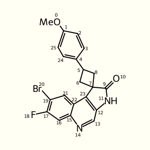 COc1ccc(C2CC3(C2)C(=O)Nc2cnc4cc(F)c(Br)cc4c23)cc1